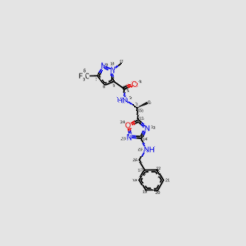 C[C@H](NC(=O)c1cc(C(F)(F)F)nn1C)c1nc(NCc2ccccc2)no1